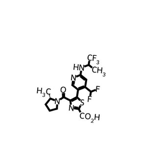 CC(Nc1cc(C(F)F)c(-c2sc(C(=O)O)nc2C(=O)N2CCC[C@@H]2C)cn1)C(F)(F)F